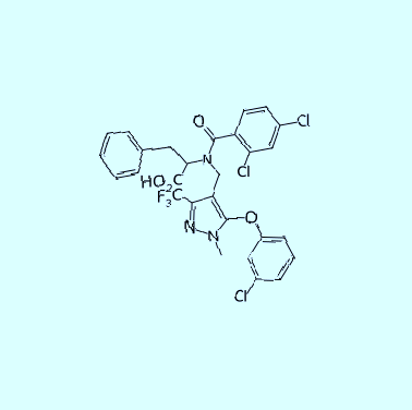 Cn1nc(C(F)(F)F)c(CN(C(=O)c2ccc(Cl)cc2Cl)C(Cc2ccccc2)C(=O)O)c1Oc1cccc(Cl)c1